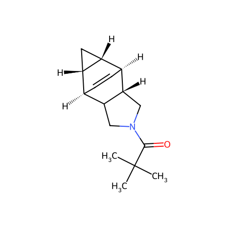 CC(C)(C)C(=O)N1CC2[C@@H](C1)[C@H]1C=C[C@@H]2[C@@H]2C[C@H]12